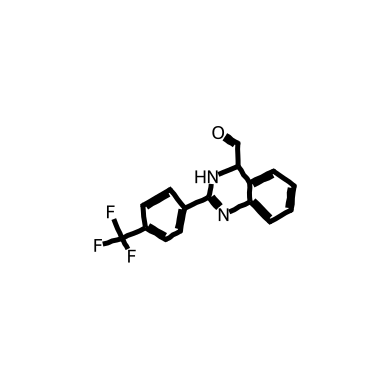 O=CC1NC(c2ccc(C(F)(F)F)cc2)=Nc2ccccc21